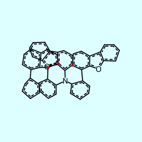 c1ccc(-c2cccc3cccc(-c4ccccc4N(c4ccccc4-c4cccc5c4oc4ccccc45)c4cccc5c4oc4ccccc45)c23)cc1